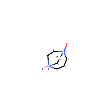 [O-][N+]12CCC[N+]([O-])(CC1)CC2